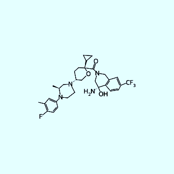 Cc1cc(N2CCN([C@@H]3CC[C@@](C(=O)N4Cc5cc(C(F)(F)F)ccc5[C@@](N)(O)C4)(C4CC4)OC3)C[C@@H]2C)ccc1F